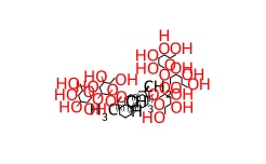 C=C1C[C@@]23CCC4[C@](C)(C(=O)OC5OC(CO)C(O)C(O)C5OC5OC(CO)C(O)C(O)C5O)CCC[C@@]4(C)[C@@H]2CC[C@]1(OC1OC(CO)C(O)C(O)C1OC1OC(CO)C(O)C(O)C1OC1OC(CO)C(O)C(O)C1O)C3